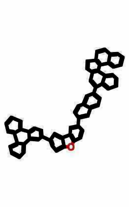 c1ccc2c(c1)ccc1ccc3cc(-c4ccc5cc(-c6ccc7oc8ccc(-c9ccc%10c%11ccccc%11c%11ccccc%11c%10c9)cc8c7c6)ccc5c4)c4ccccc4c3c12